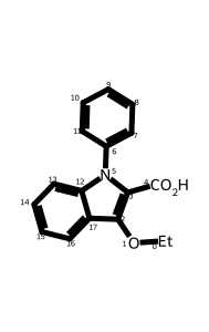 CCOc1c(C(=O)O)n(-c2ccccc2)c2ccccc12